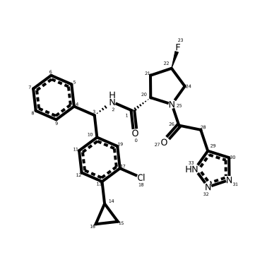 O=C(N[C@@H](c1ccccc1)c1ccc(C2CC2)c(Cl)c1)[C@@H]1C[C@@H](F)CN1C(=O)Cc1cnn[nH]1